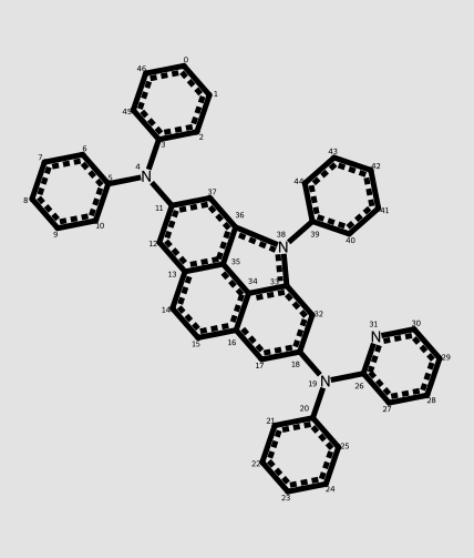 c1ccc(N(c2ccccc2)c2cc3ccc4cc(N(c5ccccc5)c5ccccn5)cc5c4c3c(c2)n5-c2ccccc2)cc1